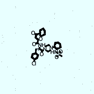 CS(=O)(=O)Nc1ccccc1N1CCN(C(=O)[C@@H](Cc2ccc(Cl)cc2)NC(=O)c2cc(=O)c3ccccc3o2)CC1